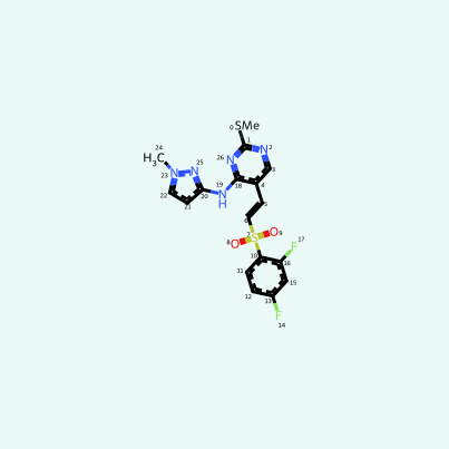 CSc1ncc(/C=C/S(=O)(=O)c2ccc(F)cc2F)c(Nc2ccn(C)n2)n1